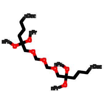 CCCCCCCCCCCCCC(COCOCOCC(CCCCCCCCCCCCC)(OCCC)OCCC)(OCCC)OCCC